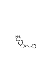 NCc1ccc2c(c1)CCN2CCC1CCCC1